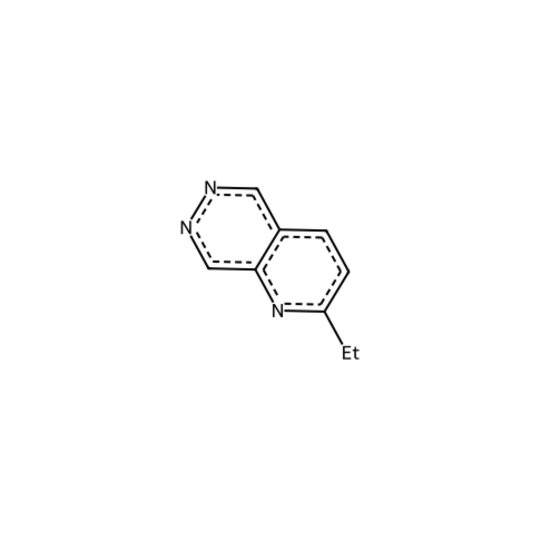 CCc1ccc2cnncc2n1